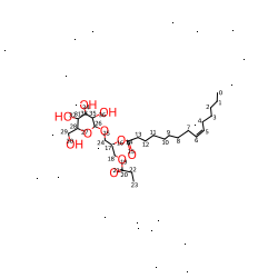 CCCCC/C=C\CCCCCCCC(=O)OC(COC(=O)CC)COC1OC(CO)C(O)C(O)C1O